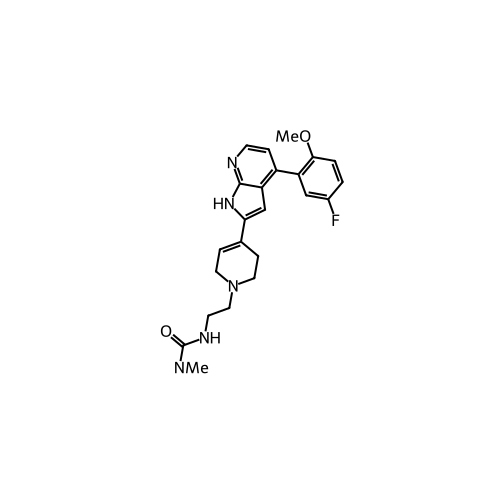 CNC(=O)NCCN1CC=C(c2cc3c(-c4cc(F)ccc4OC)ccnc3[nH]2)CC1